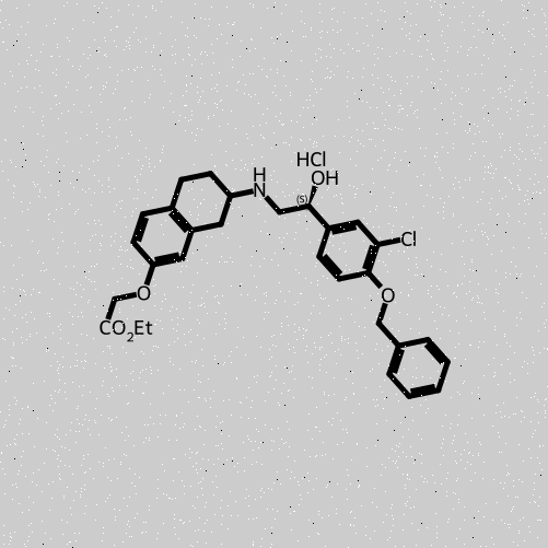 CCOC(=O)COc1ccc2c(c1)CC(NC[C@@H](O)c1ccc(OCc3ccccc3)c(Cl)c1)CC2.Cl